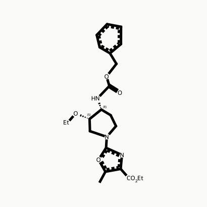 CCOC(=O)c1nc(N2CC[C@@H](NC(=O)OCc3ccccc3)[C@@H](OCC)C2)oc1C